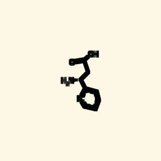 N[C@H](CC(=O)O)c1ccccn1